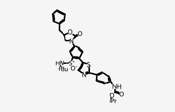 CC(C)OC(=O)Nc1ccc(-c2ncc(-c3ccc(N4CC(Cc5ccccc5)OC4=O)cc3[S+]([O-])NC(C)(C)C)s2)cc1